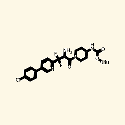 CC(C)(C)OC(=O)NC1CCN(C(=O)C(N)C(F)(F)c2ccc(-c3ccc(Cl)cc3)cn2)CC1